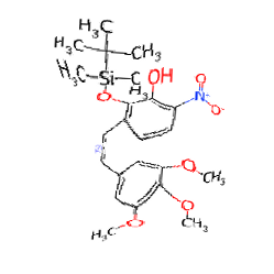 COc1cc(/C=C\c2ccc([N+](=O)[O-])c(O)c2O[Si](C)(C)C(C)(C)C)cc(OC)c1OC